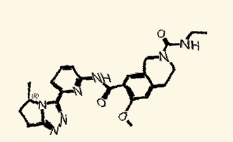 CCNC(=O)N1CCc2cc(OC)c(C(=O)Nc3cccc(-c4nnc5n4[C@H](C)CC5)n3)cc2C1